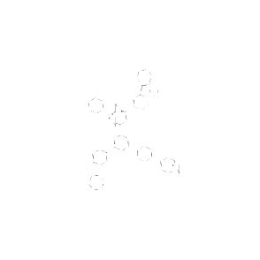 CC1(C)c2ccccc2-c2cc(-c3cc(-c4ccc(-c5ccncc5)cc4)cc(-c4cc(-c5ccc6oc7ccccc7c6c5)nc(-c5ccccc5)n4)c3)ccc21